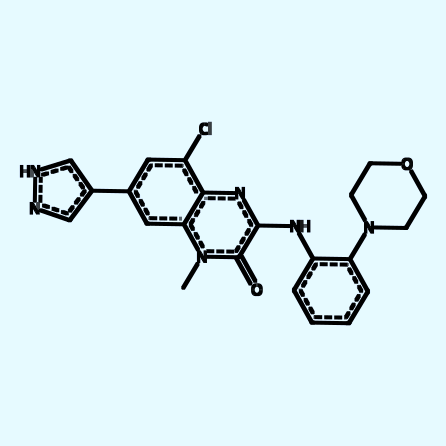 Cn1c(=O)c(Nc2ccccc2N2CCOCC2)nc2c(Cl)cc(-c3cn[nH]c3)cc21